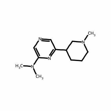 CN1CCCC(c2cncc(N(C)C)n2)C1